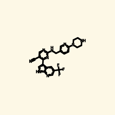 N#Cc1cnc(NCc2ccc(N3CCNCC3)nc2)nc1-c1c[nH]c2ncc(C(F)(F)F)cc12